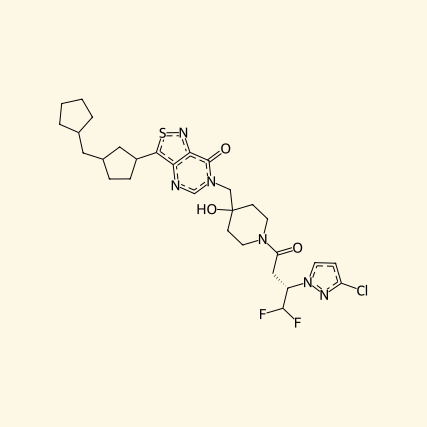 O=C(C[C@@H](C(F)F)n1ccc(Cl)n1)N1CCC(O)(Cn2cnc3c(C4CCC(CC5CCCC5)C4)snc3c2=O)CC1